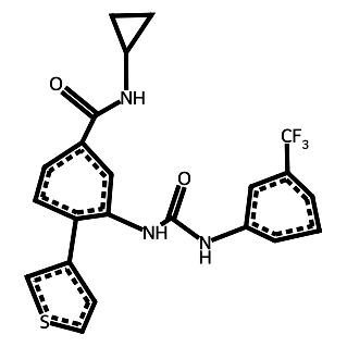 O=C(Nc1cccc(C(F)(F)F)c1)Nc1cc(C(=O)NC2CC2)ccc1-c1ccsc1